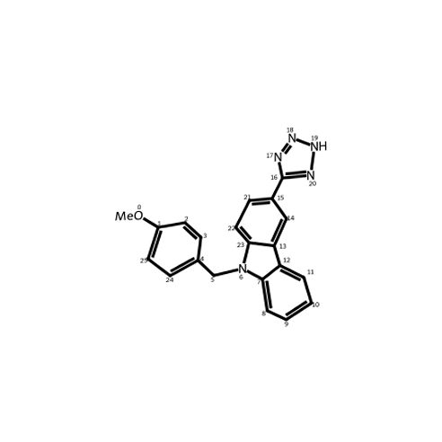 COc1ccc(Cn2c3ccccc3c3cc(-c4nn[nH]n4)ccc32)cc1